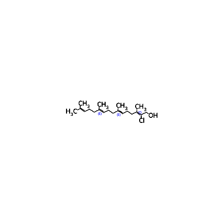 CC(C)=CCC/C(C)=C/CC/C(C)=C/CC/C(C)=C(\Cl)CO